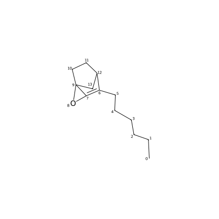 CCCCCCC1=C2OC23CCC1C3